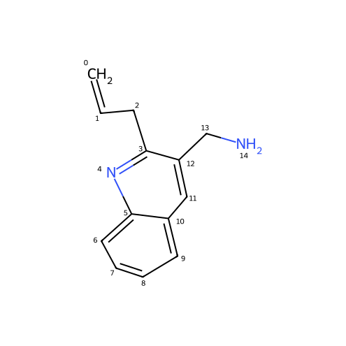 C=CCc1nc2ccccc2cc1CN